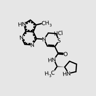 Cc1c[nH]c2ncnc(N3C=C(C(=O)NC(C)[C@@H]4CCCN4)SCC3)c12.Cl